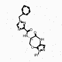 CC(C)n1ncc2c1OC[C@H](NC(=O)c1ncn(Cc3ccccc3)n1)C(=O)N2